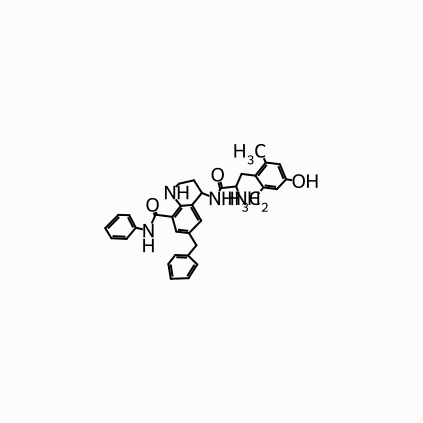 Cc1cc(O)cc(C)c1CC(N)C(=O)NC1CCNc2c(C(=O)Nc3ccccc3)cc(Cc3ccccc3)cc21